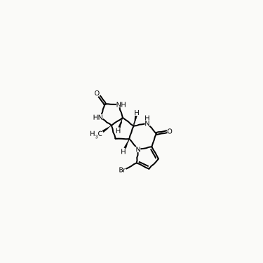 C[C@]12C[C@@H]3[C@@H](NC(=O)c4ccc(Br)n43)[C@H]1NC(=O)N2